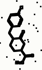 COC(=O)C1CCC(Cc2ccc(Cl)cc2)C(=O)C1